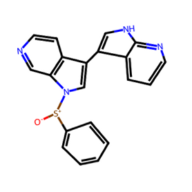 [O-][S+](c1ccccc1)n1cc(-c2c[nH]c3ncccc23)c2ccncc21